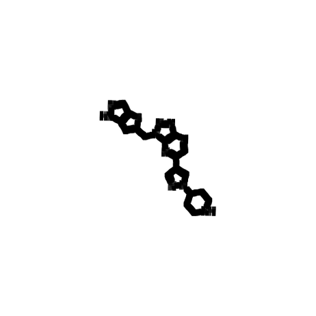 c1nn(C2CCNCC2)cc1-c1cnc2nnn(Cc3cc4[nH]ncc4s3)c2n1